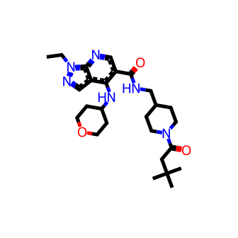 CCn1ncc2c(NC3CCOCC3)c(C(=O)NCC3CCN(C(=O)CC(C)(C)C)CC3)cnc21